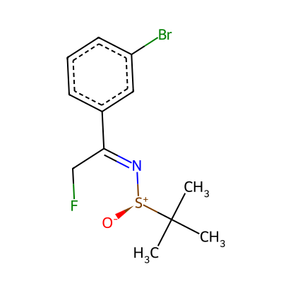 CC(C)(C)[S@@+]([O-])N=C(CF)c1cccc(Br)c1